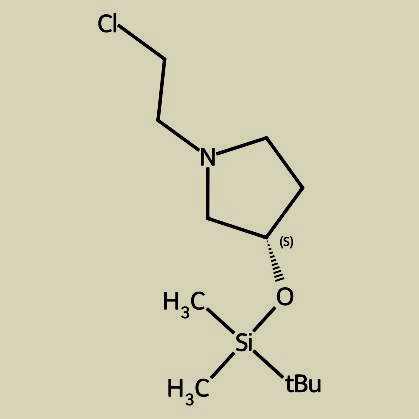 CC(C)(C)[Si](C)(C)O[C@H]1CCN(CCCl)C1